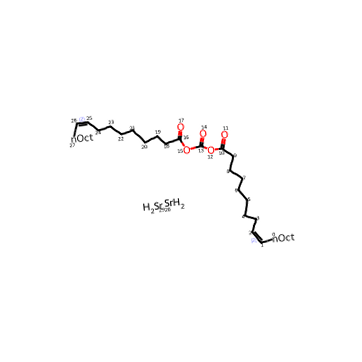 CCCCCCCC/C=C\CCCCCCCC(=O)OC(=O)OC(=O)CCCCCCC/C=C\CCCCCCCC.[SrH2].[SrH2]